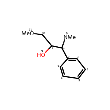 CNC(c1ccccc1)C(O)COC